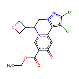 CCOC(=O)c1cn2c(cc1=O)-c1c(Cl)c(Br)nn1CC2C1COC1